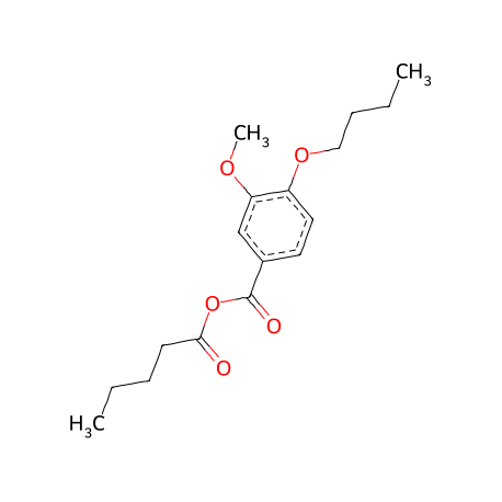 CCCCOc1ccc(C(=O)OC(=O)CCCC)cc1OC